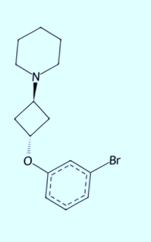 Brc1cccc(O[C@H]2C[C@H](N3CCCCC3)C2)c1